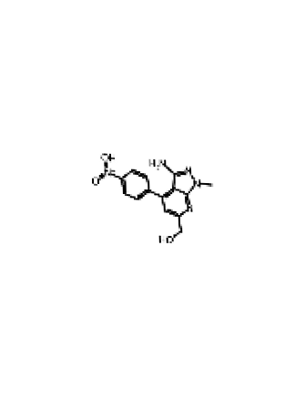 Cn1nc(N)c2c(-c3ccc([N+](=O)O)cc3)cc(CO)nc21